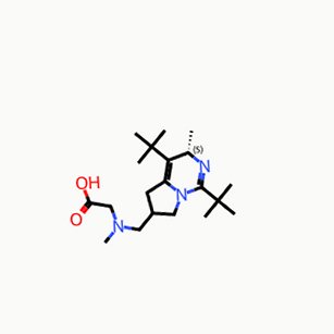 C[C@@H]1N=C(C(C)(C)C)N2CC(CN(C)CC(=O)O)CC2=C1C(C)(C)C